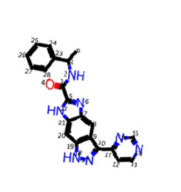 CC(NC(=O)c1nc2cc3c(-c4ccncn4)n[nH]c3cc2[nH]1)c1ccccc1